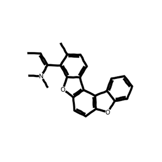 C/C=C(/c1c(C)ccc2c1oc1ccc3oc4ccccc4c3c12)N(C)C